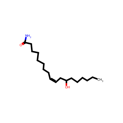 CCCCCCC(O)C/C=C\CCCCCCCC(N)=O